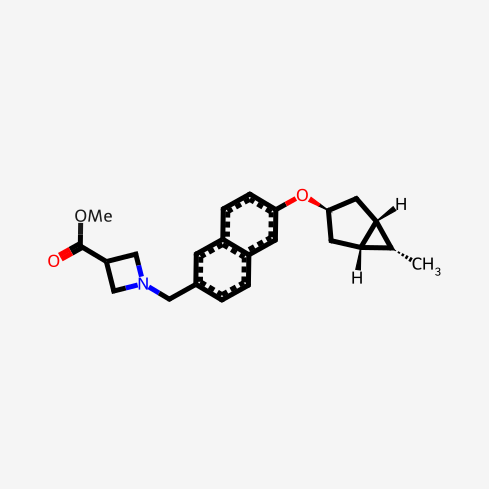 COC(=O)C1CN(Cc2ccc3cc(O[C@H]4C[C@@H]5[C@H](C)[C@@H]5C4)ccc3c2)C1